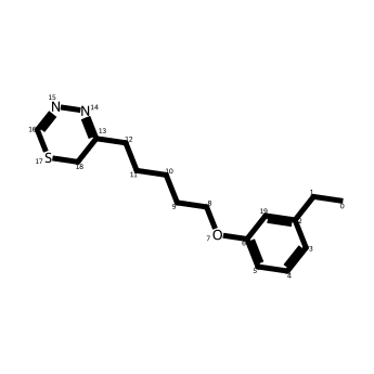 CCc1cccc(OCCCCCC2=NN=CSC2)c1